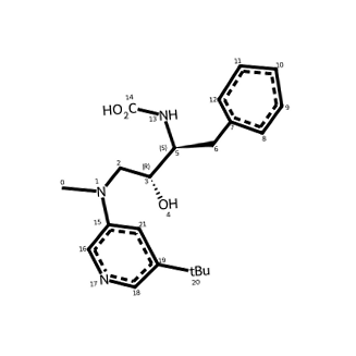 CN(C[C@@H](O)[C@H](Cc1ccccc1)NC(=O)O)c1cncc(C(C)(C)C)c1